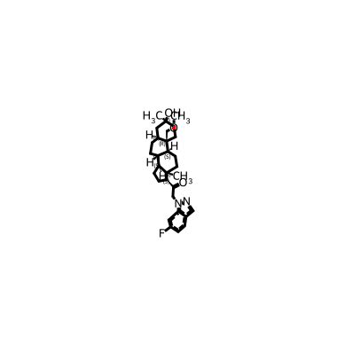 COC[C@]12CC[C@@](C)(O)C[C@@H]1CC[C@H]1[C@@H]3CC[C@H](C(=O)Cn4ncc5ccc(F)cc54)[C@@]3(C)CC[C@@H]12